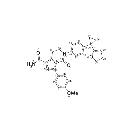 COc1ccc(-n2nc(C(N)=O)c3c2C(=O)N(c2ccc(C4(C5=NCCO5)CC4)cc2)CC3)cc1